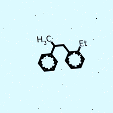 CCc1ccccc1CC(C)c1ccccc1